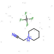 F[B-](F)(F)F.N#CC[NH+]1CCCCC1